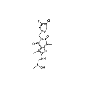 CC(O)CNc1nc2c(c(=O)n(Cc3ccc(Cl)c(F)c3)c(=O)n2C)n1C